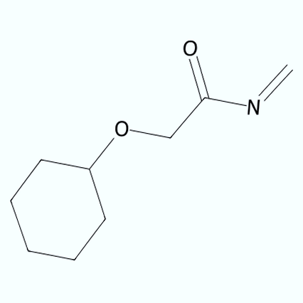 C=NC(=O)COC1CCCCC1